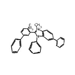 Cc1ccc(-c2ccccc2)cc1-c1n(-c2ccccc2)c2cc(-c3ccccc3)ccc2[n+]1C